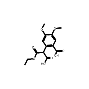 CCOC(=O)C(C(=O)O)c1cc(OC)c(OC)cc1C(=O)O